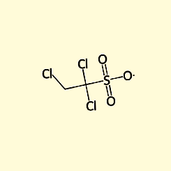 [O]S(=O)(=O)C(Cl)(Cl)CCl